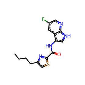 CCCCc1csc(C(=O)Nc2c[nH]c3ncc(F)cc23)n1